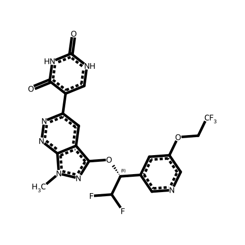 Cn1nc(O[C@H](c2cncc(OCC(F)(F)F)c2)C(F)F)c2cc(-c3c[nH]c(=O)[nH]c3=O)nnc21